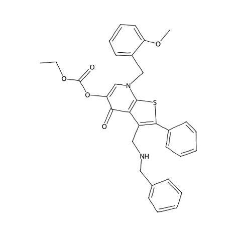 CCOC(=O)Oc1cn(Cc2ccccc2OC)c2sc(-c3ccccc3)c(CNCc3ccccc3)c2c1=O